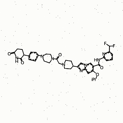 CC(C)Oc1cc2nc(C3CCN(CC(=O)N4CCN(c5ccc(C6CCC(=O)NC6=O)cc5)CC4)CC3)cn2cc1C(=O)Nc1cccc(C(F)F)n1